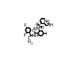 C[C@@H](NC(=O)c1ccc(I)cc1NS(=O)(=O)C1=CC=CN2SNC=C12)c1ccc(F)cc1F